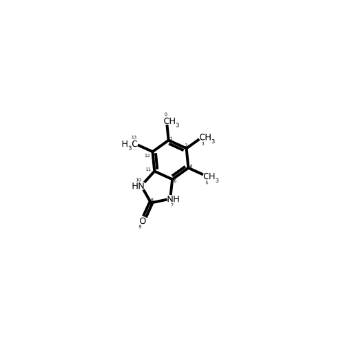 Cc1c(C)c(C)c2[nH]c(=O)[nH]c2c1C